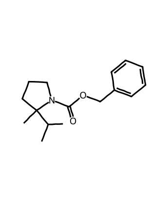 CC(C)C1(C)CCCN1C(=O)OCc1ccccc1